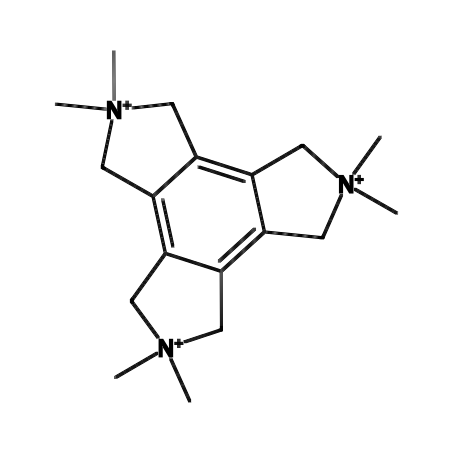 C[N+]1(C)Cc2c3c(c4c(c2C1)C[N+](C)(C)C4)C[N+](C)(C)C3